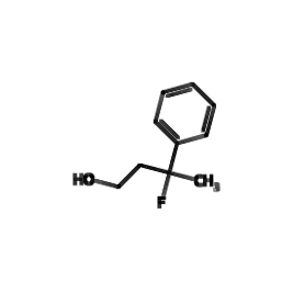 CC(F)(CCO)c1ccccc1